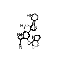 Cc1c(-c2cc(O[C@H](C)c3ncccc3F)c3c(C#N)cnn3c2)cnn1[C@H]1CCCNC1